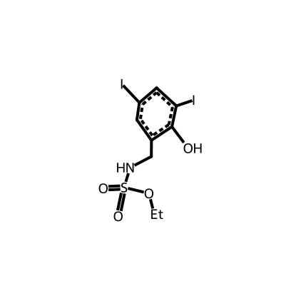 CCOS(=O)(=O)NCc1cc(I)cc(I)c1O